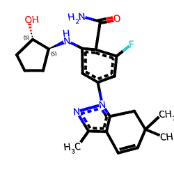 Cc1nn(-c2cc(F)c(C(N)=O)c(N[C@H]3CCC[C@@H]3O)c2)c2c1C=CC(C)(C)C2